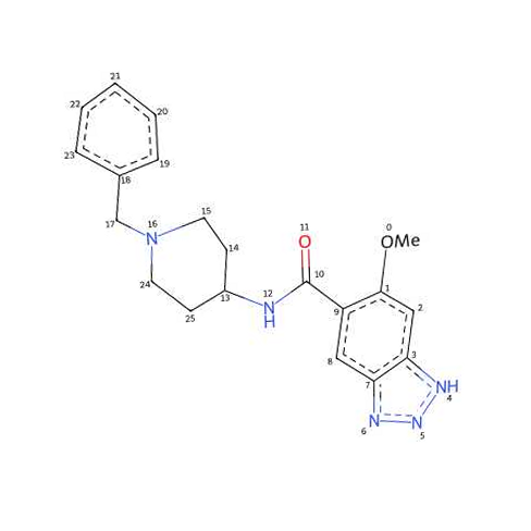 COc1cc2[nH]nnc2cc1C(=O)NC1CCN(Cc2ccccc2)CC1